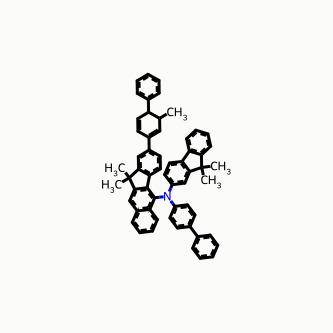 CC1C=C(c2ccc3c(c2)C(C)(C)c2cc4ccccc4c(N(c4ccc(-c5ccccc5)cc4)c4ccc5c(c4)C(C)(C)c4ccccc4-5)c2-3)C=CC1c1ccccc1